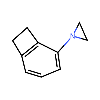 c1cc2c(c(N3CC3)c1)CC2